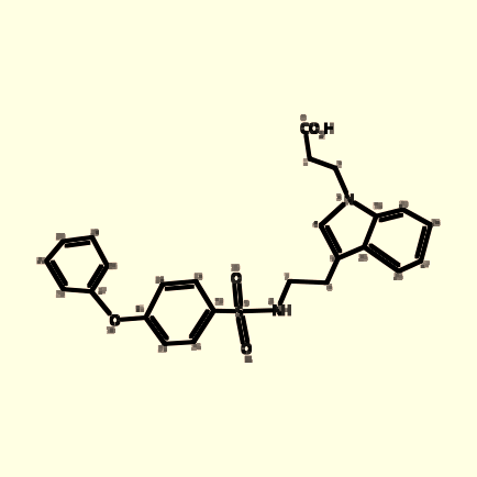 O=C(O)CCn1cc(CCNS(=O)(=O)c2ccc(Oc3ccccc3)cc2)c2ccccc21